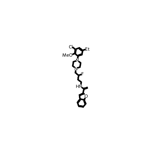 C=C(NCCC(F)CN1CCN(c2cc(CC)cc(Cl)c2OC)CC1)c1cc2ccccc2o1